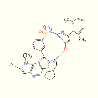 Cc1cccc(C)c1-c1cc2nc(n1)NS(=O)(=O)c1cccc(c1)C(=O)N(Cc1cnc3cc(C(C)C)n(C)c3n1)[C@H](CC1CCCC1)CO2